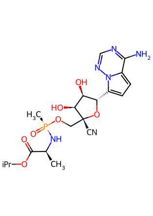 CC(C)OC(=O)[C@H](C)N[P@](C)(=O)OC[C@@]1(C#N)O[C@@H](c2ccc3c(N)ncnn23)[C@H](O)[C@@H]1O